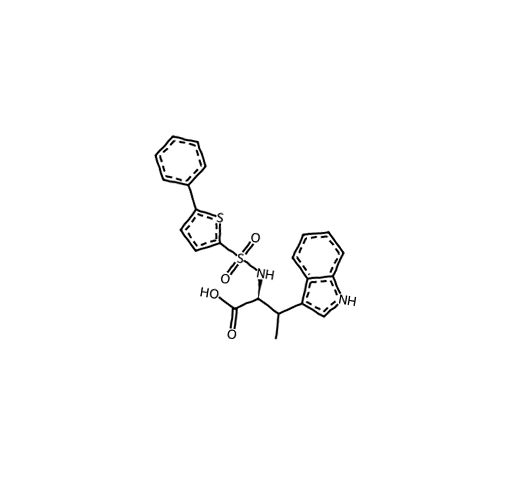 CC(c1c[nH]c2ccccc12)[C@H](NS(=O)(=O)c1ccc(-c2ccccc2)s1)C(=O)O